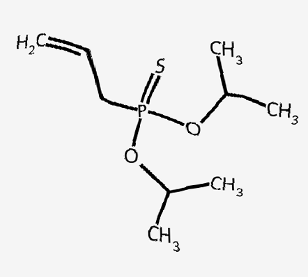 C=CCP(=S)(OC(C)C)OC(C)C